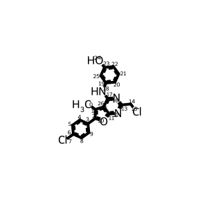 Cc1c(-c2ccc(Cl)cc2)oc2nc(CCl)nc(Nc3cccc(O)c3)c12